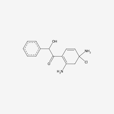 NC1=C(C(=O)C(O)c2ccccc2)C=CC(N)(Cl)C1